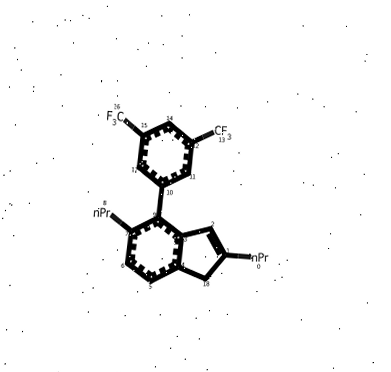 CCCC1=Cc2c(ccc(CCC)c2-c2cc(C(F)(F)F)cc(C(F)(F)F)c2)[CH]1